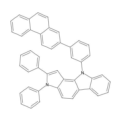 c1ccc(-c2cc3c(ccc4c5ccccc5n(-c5cccc(-c6ccc7c(ccc8ccccc87)c6)c5)c43)n2-c2ccccc2)cc1